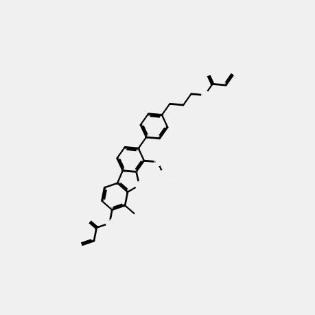 C=CC(=O)OCCCc1ccc(-c2ccc3c(oc4c(C)c(OC(=O)C=C)ccc43)c2OC(F)(F)F)cc1